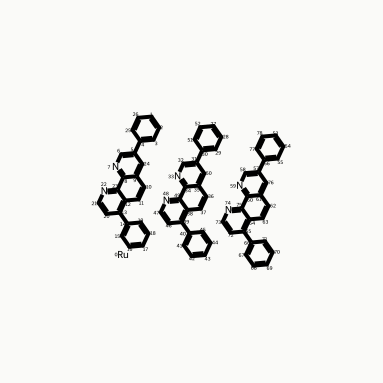 [Ru].c1ccc(-c2cnc3c(ccc4c(-c5ccccc5)ccnc43)c2)cc1.c1ccc(-c2cnc3c(ccc4c(-c5ccccc5)ccnc43)c2)cc1.c1ccc(-c2cnc3c(ccc4c(-c5ccccc5)ccnc43)c2)cc1